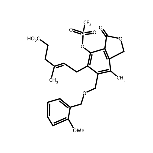 COc1ccccc1COCc1c(C)c2c(c(OS(=O)(=O)C(F)(F)F)c1C/C=C(\C)CCC(=O)O)C(=O)OC2